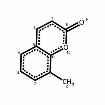 Cc1cccc2ccc(=O)oc12